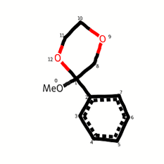 COC1(c2ccccc2)COCCO1